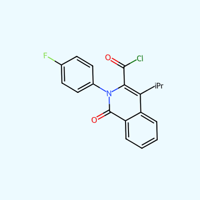 CC(C)c1c(C(=O)Cl)n(-c2ccc(F)cc2)c(=O)c2ccccc12